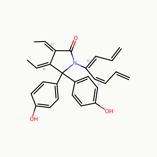 C=C/C=C\C(=C/C=C)N1C(=O)C(=C/C)/C(=C\C)C1(c1ccc(O)cc1)c1ccc(O)cc1